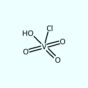 [O]=[V](=[O])(=[O])([OH])[Cl]